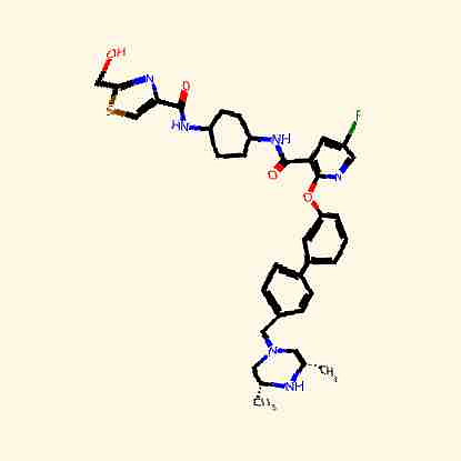 C[C@@H]1CN(Cc2ccc(-c3cccc(Oc4ncc(F)cc4C(=O)NC4CCC(NC(=O)c5csc(CO)n5)CC4)c3)cc2)C[C@H](C)N1